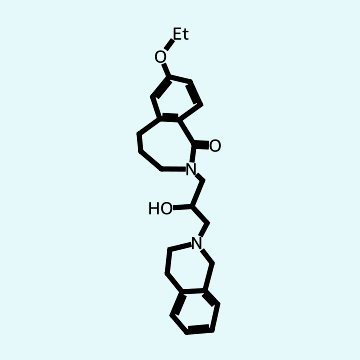 CCOc1ccc2c(c1)CCCN(CC(O)CN1CCc3ccccc3C1)C2=O